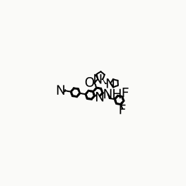 N#Cc1ccc(-c2ccc3nc(NCc4cc(F)cc(F)c4)cc(C(=O)N4CCC[C@H]4CN4CCCC4)c3c2)cc1